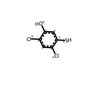 Oc1cc(S)c(Cl)cc1Cl